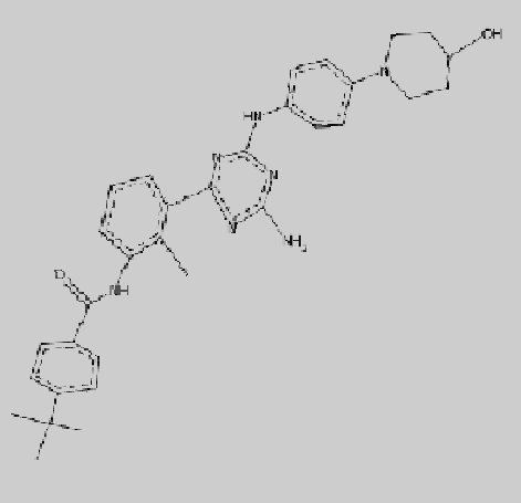 Cc1c(NC(=O)c2ccc(C(C)(C)C)cc2)cccc1-c1nc(N)nc(Nc2ccc(N3CCC(O)CC3)cc2)n1